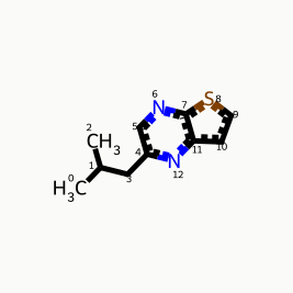 CC(C)Cc1cnc2sccc2n1